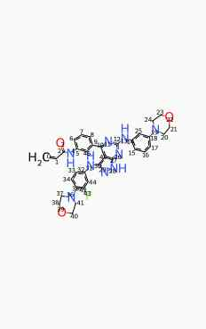 C=CC(=O)Nc1cccc(-c2nc(Nc3cccc(N4CCOCC4)c3)nc3[nH]nc(Nc4ccc(N5CCOCC5)c(F)c4)c23)c1